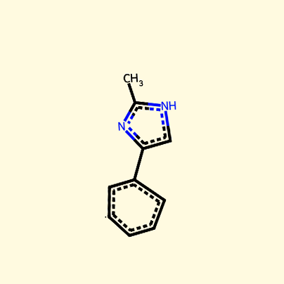 Cc1nc(-c2c[c]ccc2)c[nH]1